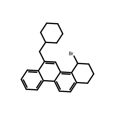 BrC1CCCc2ccc3c(cc(CC4CCCCC4)c4ccccc43)c21